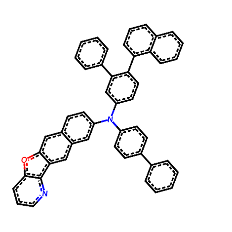 c1ccc(-c2ccc(N(c3ccc(-c4cccc5ccccc45)c(-c4ccccc4)c3)c3ccc4cc5oc6cccnc6c5cc4c3)cc2)cc1